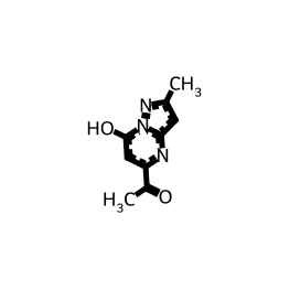 CC(=O)c1cc(O)n2nc(C)cc2n1